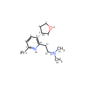 CC(C)c1ccc([C@@H]2CCOC2)c(CCN(C)C)n1